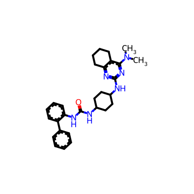 CN(C)c1nc(NC2CCC(NC(=O)Nc3ccccc3-c3ccccc3)CC2)nc2c1CCCC2